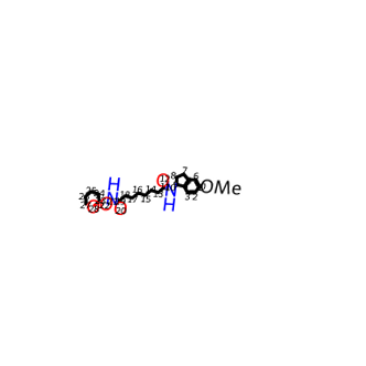 COc1ccc2c(c1)CCC2NC(=O)CCCCCCC(=O)NOC1CCCCO1